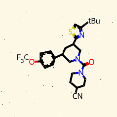 CC(C)(C)c1csc(C2CC(c3ccc(OC(F)(F)F)cc3)CN(C(=O)N3CCC(C#N)CC3)C2)n1